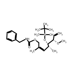 C=C[C@H](OC)[C@@H](O[Si](C)(C)C(C)(C)C)[C@H](C)/C=C(/C)COC(=O)NCc1ccccc1